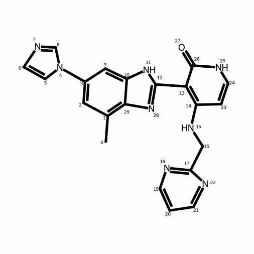 Cc1cc(-n2ccnc2)cc2[nH]c(-c3c(NCc4ncccn4)cc[nH]c3=O)nc12